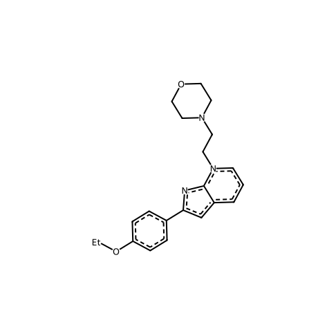 CCOc1ccc(-c2cc3cccn(CCN4CCOCC4)c-3n2)cc1